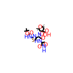 C[C@@H]1CC(O/N=C(\C(=O)N[C@H]2CONC2=O)c2csc(NC(=O)OC(C)(C)C)n2)(C(=O)O)C[C@@H](C)O1